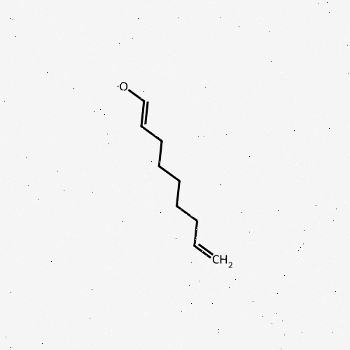 C=CCCCCCC=C[O]